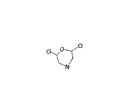 ClC1C[N]CC(Cl)O1